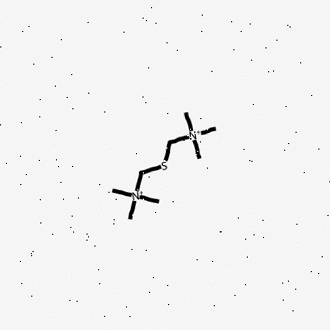 C[N+](C)(C)CSC[N+](C)(C)C